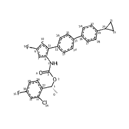 C[C@@H](OC(=O)Nc1cc(F)sc1-c1ccc(-c2ccc(C3CC3)cc2)cc1)c1ccc(F)cc1Cl